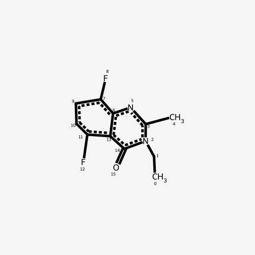 CCn1c(C)nc2c(F)ccc(F)c2c1=O